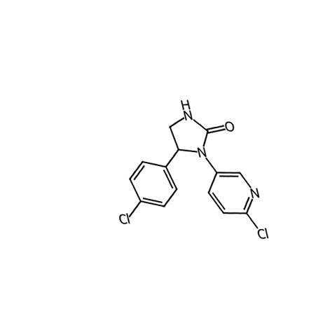 O=C1NCC(c2ccc(Cl)cc2)N1c1ccc(Cl)nc1